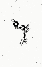 CS(=O)(=O)NCCCNc1nc(Nc2ccc(Cl)cc2)ncc1[N+](=O)[O-]